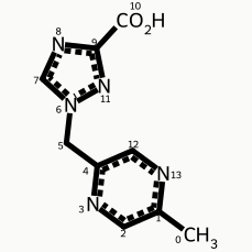 Cc1cnc(Cn2cnc(C(=O)O)n2)cn1